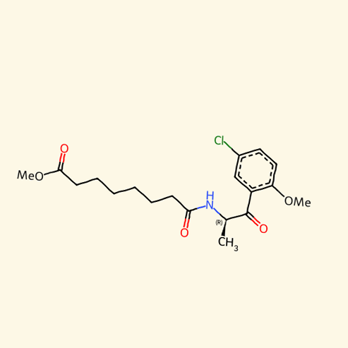 COC(=O)CCCCCCC(=O)N[C@H](C)C(=O)c1cc(Cl)ccc1OC